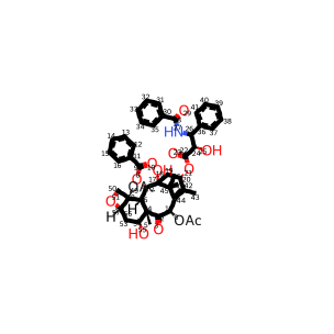 CC(=O)O[C@H]1C(=O)[C@@]2(C)[C@H]([C@H](OC(=O)c3ccccc3)[C@]3(O)C[C@H](OC(=O)[C@H](O)C(NC(=O)c4ccccc4)c4ccccc4)C(C)=C1C3(C)C)[C@]1(OC(C)=O)CO[C@@H]1C[C@@H]2O